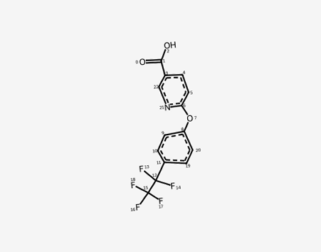 O=C(O)c1ccc(Oc2ccc(C(F)(F)C(F)(F)F)cc2)nc1